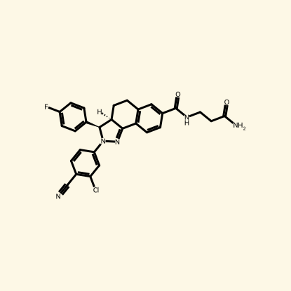 N#Cc1ccc(N2N=C3c4ccc(C(=O)NCCC(N)=O)cc4CC[C@@H]3[C@@H]2c2ccc(F)cc2)cc1Cl